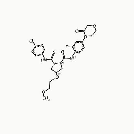 COCCO[C@@H]1C[C@H](C(=O)Nc2ccc(N3CCOCC3=O)cc2F)N(C(=S)Nc2ccc(Cl)cc2)C1